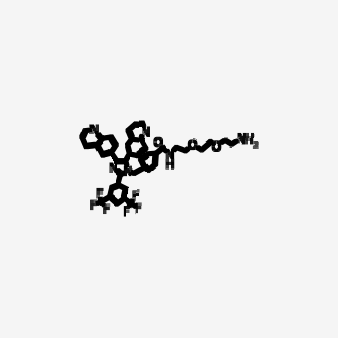 NCCOCCOCCNC(=O)c1ccc(Cn2c(-c3cc(C(F)(F)F)cc(C(F)(F)F)c3)nc(-c3ccc4ncccc4c3)c2-c2ccc3ncccc3c2)cc1